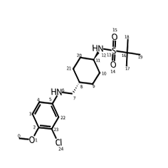 COc1ccc(NC[C@H]2CC[C@H](NS(=O)(=O)C(C)(C)C)CC2)cc1Cl